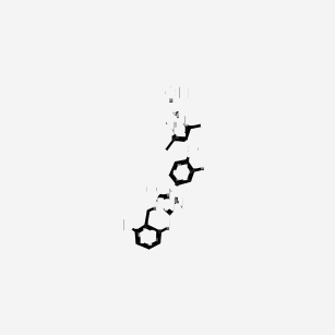 Cc1nn(CCO)c(C)c1Oc1ccc(-n2ncn(Cc3c(F)cccc3F)c2=O)cc1F